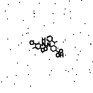 COc1cc(C)c(Cl)cc1NC(=O)N(c1ccccc1C(C)C)C1CCC(C(=O)O)CC1